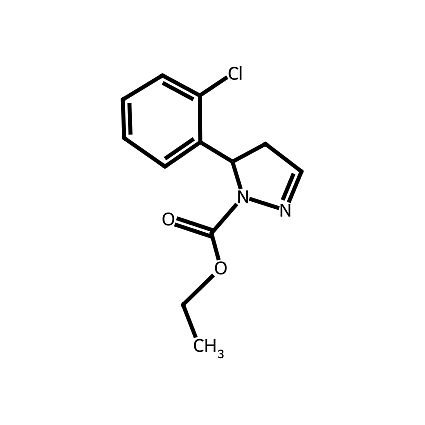 CCOC(=O)N1N=CCC1c1ccccc1Cl